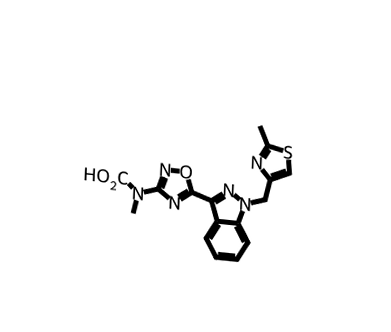 Cc1nc(Cn2nc(-c3nc(N(C)C(=O)O)no3)c3ccccc32)cs1